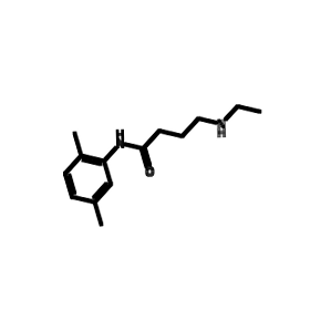 CCNCCCC(=O)Nc1cc(C)ccc1C